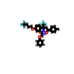 Cc1ccc(C(=O)CC(NC(=O)COc2ccccc2)(c2ccc(OCCCC(F)(F)F)cc2)C(F)(F)F)cc1